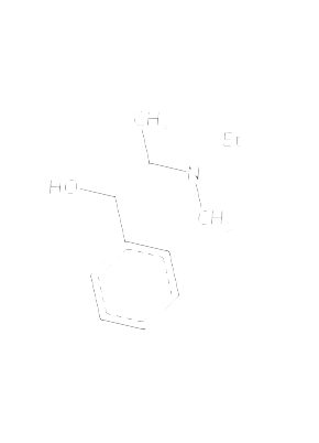 CCN(C)C(C)C(O)c1ccccc1